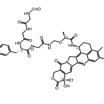 CC[C@@]1(O)C(=O)OCc2c1cc1n(c2=O)Cc2c-1nc1cc(F)c(C)c3c1c2[C@@H](NC(=O)[C@H](C)OCNC(=O)CNC(=O)[C@H](Cc1ccccc1)NC(=O)CNC(=O)CNC=O)CC3